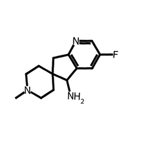 CN1CCC2(CC1)Cc1ncc(F)cc1C2N